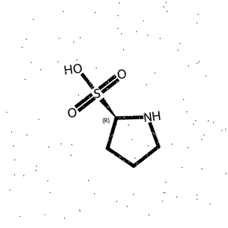 O=S(=O)(O)[C@@H]1CCCN1